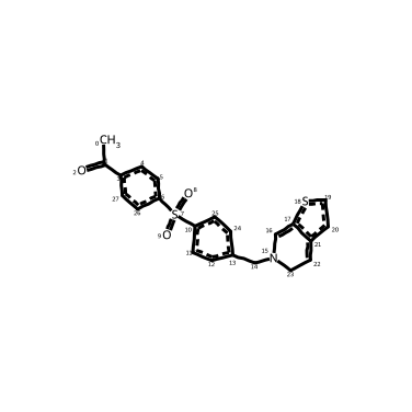 CC(=O)c1ccc(S(=O)(=O)c2ccc(CN3C=c4sccc4=CC3)cc2)cc1